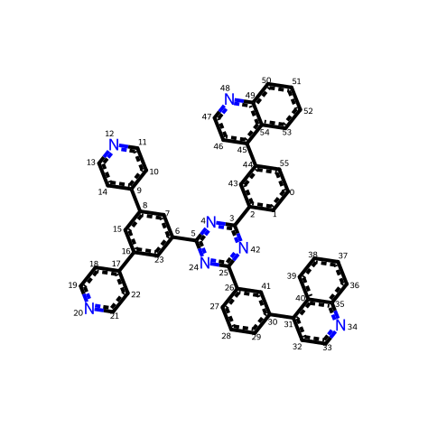 c1cc(-c2nc(-c3cc(-c4ccncc4)cc(-c4ccncc4)c3)nc(-c3cccc(-c4ccnc5ccccc45)c3)n2)cc(-c2ccnc3ccccc23)c1